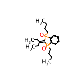 CCCCP(=O)(CCCC)c1ccccc1P(=O)(CCCC)CCCC